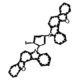 IC1C=CC(n2c3ccccc3c3c4oc5ccccc5c4ccc32)=CC1n1c2ccccc2c2c3oc4ccccc4c3ccc21